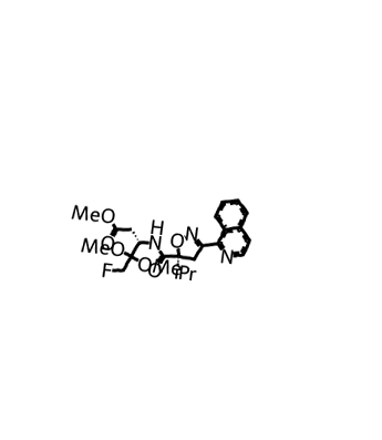 COC(=O)C[C@H](NC(=O)[C@]1(C(C)C)CC(c2nccc3ccccc23)=NO1)C(CF)(OC)OC